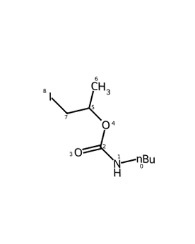 CCCCNC(=O)OC(C)CI